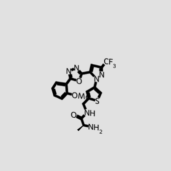 COc1ccccc1-c1nnc(-c2cc(C(F)(F)F)nn2-c2csc(CNC(=O)[C@H](C)N)c2)o1